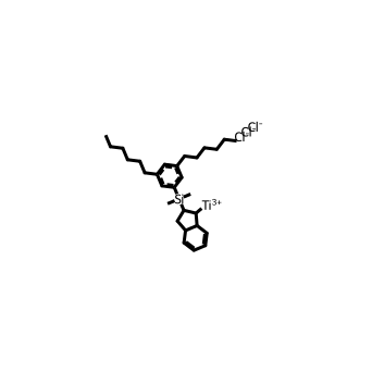 CCCCCCc1cc(CCCCCC)cc([Si](C)(C)C2CC3C=CC=CC3[CH]2[Ti+3])c1.[Cl-].[Cl-].[Cl-]